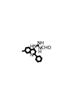 Cc1ccc2c(NC(=N)NC=O)cc(-c3ccccc3)nc2c1